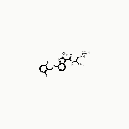 Cc1nc2c(OCc3c(F)cccc3F)cccn2c1C(=O)NC(C)CNC(=O)O